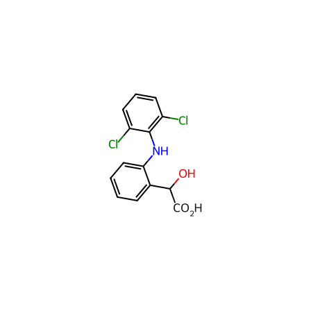 O=C(O)C(O)c1ccccc1Nc1c(Cl)cccc1Cl